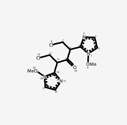 COn1ccnc1C(CCl)C(=O)C(CCl)c1nccn1OC